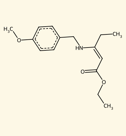 CCOC(=O)/C=C(/CC)NCc1ccc(OC)cc1